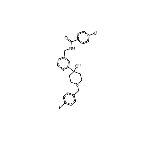 O=C(NCc1ccnc(C2(O)CCN(Cc3ccc(F)cc3)CC2)c1)c1ccc(Cl)cc1